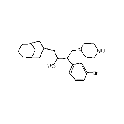 OC(CC1CC2CCCC(C2)C1)C(CN1CCNCC1)c1cccc(Br)c1